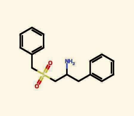 NC(Cc1ccccc1)CS(=O)(=O)Cc1ccccc1